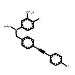 CCCCCCN(Cc1ccc(C#Cc2ccc(CC)cc2)cc1)c1ccc(F)c(C(=O)O)c1